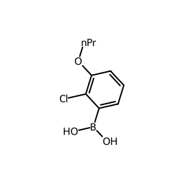 CCCOc1cccc(B(O)O)c1Cl